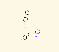 O=C(CCc1oc(-n2cnc3ccccc32)nc1-c1ccc(Cl)cc1)NCc1ccc(-c2ccccc2)cc1